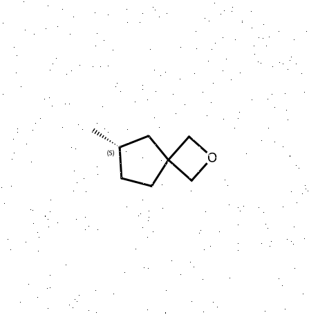 C[C@H]1CCC2(COC2)C1